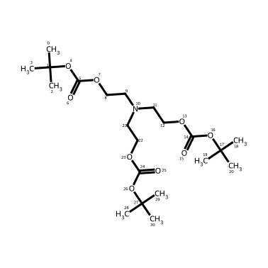 CC(C)(C)OC(=O)OCCN(CCOC(=O)OC(C)(C)C)CCOC(=O)OC(C)(C)C